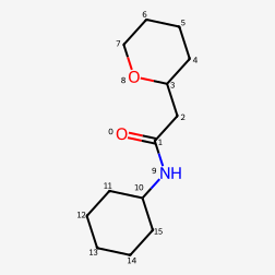 O=C(CC1CCCCO1)NC1CCCCC1